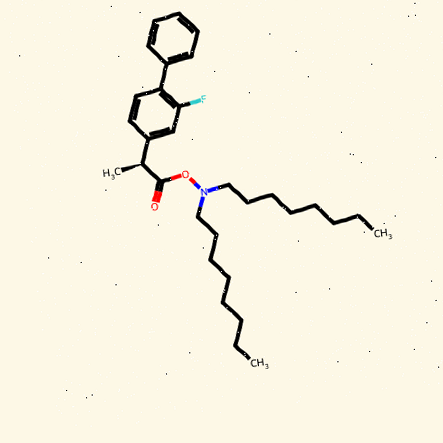 CCCCCCCCN(CCCCCCCC)OC(=O)[C@@H](C)c1ccc(-c2ccccc2)c(F)c1